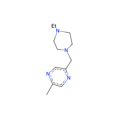 CCN1CCN(Cc2cnc(C)cn2)CC1